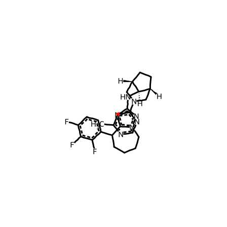 Cc1cc(N2C[C@H]3CC[C@@H](C2)[C@@H]3Nc2nc3n(n2)CCCCC3c2ccc(F)c(F)c2F)ncn1